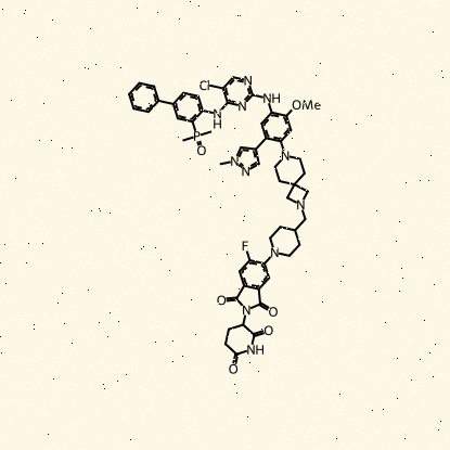 COc1cc(N2CCC3(CC2)CN(CC2CCN(c4cc5c(cc4F)C(=O)N(C4CCC(=O)NC4=O)C5=O)CC2)C3)c(-c2cnn(C)c2)cc1Nc1ncc(Cl)c(Nc2ccc(-c3ccccc3)cc2P(C)(C)=O)n1